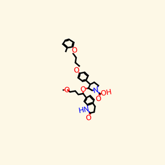 COCCCC(OC1CN(C(=O)O)CCC1c1ccc(OCCCCOc2ccccc2C)cc1)c1ccc2c(c1)NC(=O)CC2